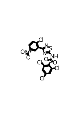 O=[N+]([O-])c1ccc(Cl)c(-c2nsc(NS(=O)(=O)c3c(Cl)cc(Cl)cc3Cl)n2)c1